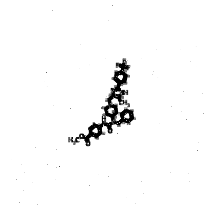 COC(=O)c1ccc(NC(=O)N(Cc2ccccc2)C2CCN(Cc3nc(-c4ccc(C(F)(F)F)cc4)[nH]c3C)CC2)cc1